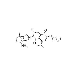 CC1COc2c(N3CC4C(C3)C3(N)C=CC4(C)C3)c(F)cc3c(=O)c(OC(=O)O)cn1c23